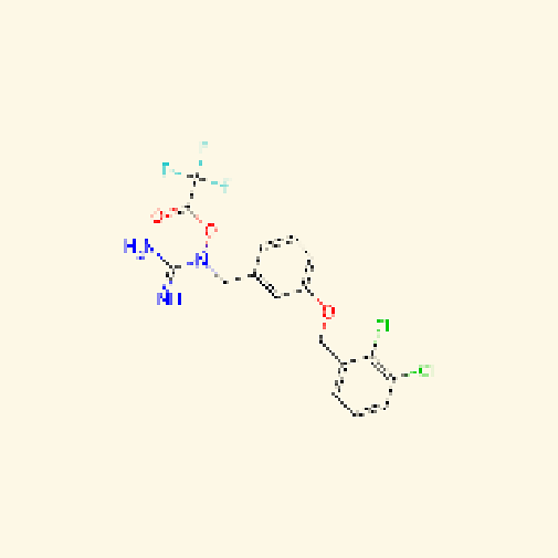 N=C(N)N(Cc1cccc(OCc2cccc(Cl)c2Cl)c1)OC(=O)C(F)(F)F